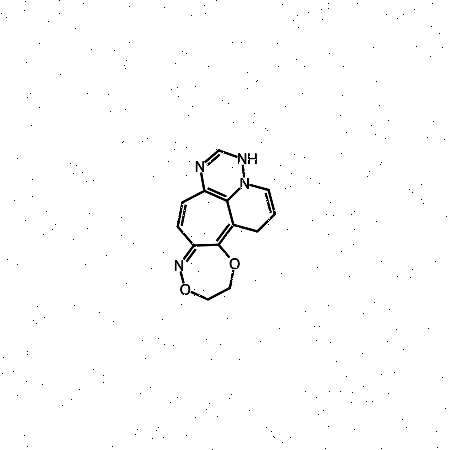 C1=CN2NC=NC3=C2C(=C2OCCON=C2C=C3)C1